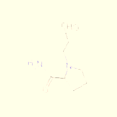 NC(=O)C1CCCN1CCC=O